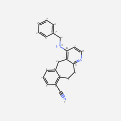 N#Cc1cccc2c1CCc1nccc(NCc3ccccc3)c1C2